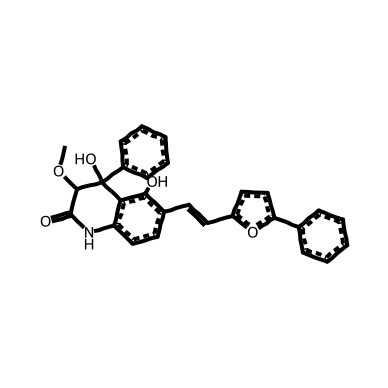 COC1C(=O)Nc2ccc(C=Cc3ccc(-c4ccccc4)o3)c(O)c2C1(O)c1ccccc1